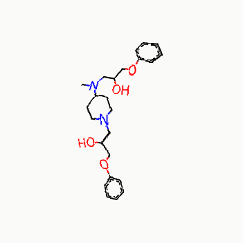 CN(CC(O)COc1ccccc1)C1CCN(CC(O)COc2ccccc2)CC1